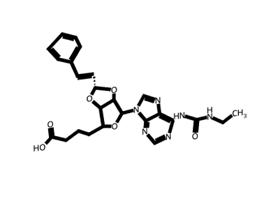 CCNC(=O)Nc1ncnc2c1ncn2C1OC(CCCC(=O)O)C2O[C@H](/C=C/c3ccccc3)OC21